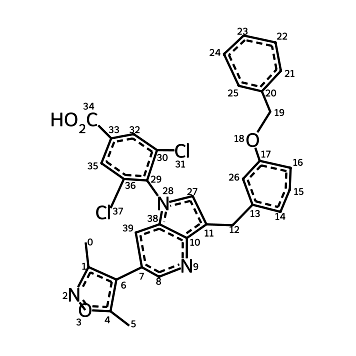 Cc1noc(C)c1-c1cnc2c(Cc3cccc(OCc4ccccc4)c3)cn(-c3c(Cl)cc(C(=O)O)cc3Cl)c2c1